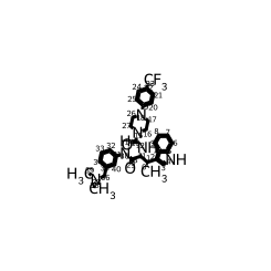 C[C@H](c1c[nH]c2ccccc12)[C@@H](NC(=O)N1CCN(c2ccc(C(F)(F)F)cc2)CC1)C(=O)Nc1cccc(CN(C)C)c1